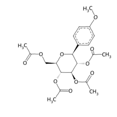 COc1ccc([C@@H]2O[C@H](COC(C)=O)[C@@H](OC(C)=O)[C@H](OC(C)=O)[C@H]2OC(C)=O)cc1